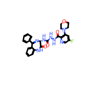 O=C(NNC(=O)c1ncc(F)cc1N1CCOCC1)N[C@H]1N=C(c2ccccc2)c2ccccc2NC1=O